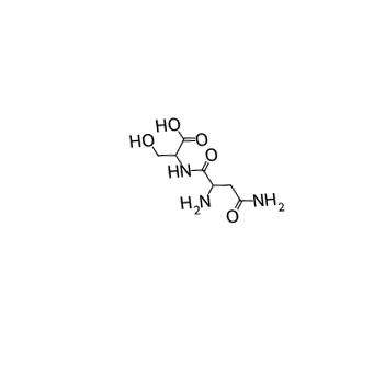 NC(=O)CC(N)C(=O)NC(CO)C(=O)O